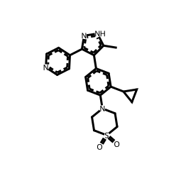 Cc1[nH]nc(-c2ccncc2)c1-c1ccc(N2CCS(=O)(=O)CC2)c(C2CC2)c1